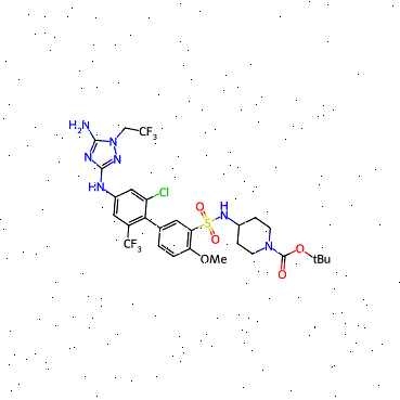 COc1ccc(-c2c(Cl)cc(Nc3nc(N)n(CC(F)(F)F)n3)cc2C(F)(F)F)cc1S(=O)(=O)NC1CCN(C(=O)OC(C)(C)C)CC1